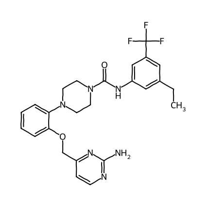 CCc1cc(NC(=O)N2CCN(c3ccccc3OCc3ccnc(N)n3)CC2)cc(C(F)(F)F)c1